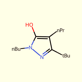 CCCCn1nc(C(C)(C)C)c(CCC)c1O